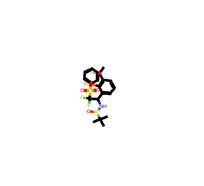 CC(F)c1cccc(C(N[S+]([O-])C(C)(C)C)C(F)(F)S(=O)(=O)c2ccccc2)c1P